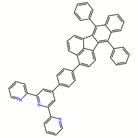 c1ccc(-c2c3c(c(-c4ccccc4)c4ccccc24)-c2ccc(-c4ccc(-c5cc(-c6ccccn6)nc(-c6ccccn6)c5)cc4)c4cccc-3c24)cc1